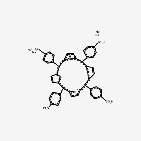 O=C(O)c1ccc(-c2c3nc(c(-c4ccc(S(=O)(=O)O)cc4)c4ccc([nH]4)c(-c4ccc(S(=O)(=O)O)cc4)c4nc(c(-c5ccc(S(=O)(=O)O)cc5)c5ccc2[nH]5)C=C4)C=C3)cc1.[Na].[Na].[Na].[Na]